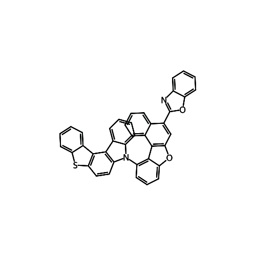 c1ccc2oc(-c3cc4oc5cccc(-n6c7ccccc7c7c8c(ccc76)sc6ccccc68)c5c4c4ccccc34)nc2c1